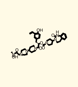 C=Cc1cc(C[C@@H](OC(=O)N2CCC(N3CCc4ccccc4NC3=O)CC2)C(=O)N2CCC(N3CCN(CC(=O)N(C)O)CC3)CC2)ccc1O